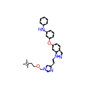 C[Si](C)(C)CCOCn1cnc(C=Cn2ncc3ccc(Oc4cccc(Nc5ccccc5)c4)cc32)c1